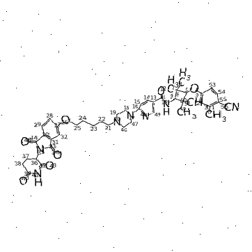 Cc1cc(OC2C(C)(C)C(NC(=O)c3ccc(N4CCN(CCCCCOc5ccc6c(c5)C(=O)N(C5CCC(=O)NC5=O)C6=O)CC4)nc3)C2(C)C)ccc1C#N